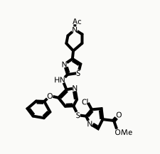 COC(=O)c1cnc(Sc2cnc(Nc3nc(C4CCN(C(C)=O)CC4)cs3)c(Oc3ccccc3)c2)c(Cl)c1